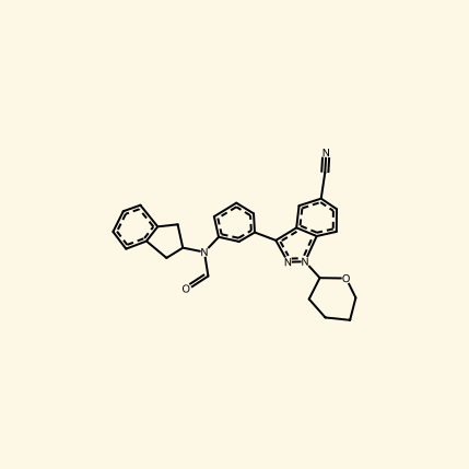 N#Cc1ccc2c(c1)c(-c1cccc(N(C=O)C3Cc4ccccc4C3)c1)nn2C1CCCCO1